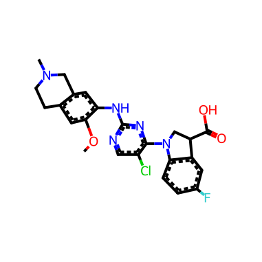 COc1cc2c(cc1Nc1ncc(Cl)c(N3CC(C(=O)O)c4cc(F)ccc43)n1)CN(C)CC2